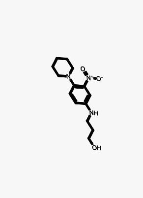 O=[N+]([O-])c1cc(NCCCO)ccc1N1CCCCC1